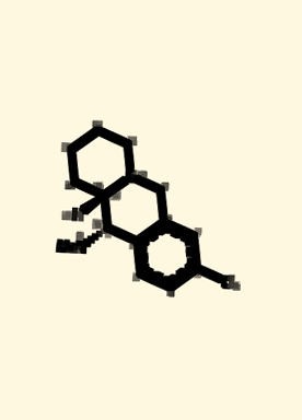 CN[C@H]1c2ccc(Cl)cc2CN2CCCC[C@@H]12